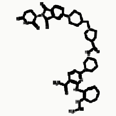 CNNC1=C(Nc2nc(N3CCC[C@@H](NC(=O)C4CCN(CC5CCN(c6ccc7c(c6)C(=O)N([C@H]6CCC(=O)NC6=O)C7=O)CC5)CC4)C3)cnc2C(N)=O)C=CCCC1